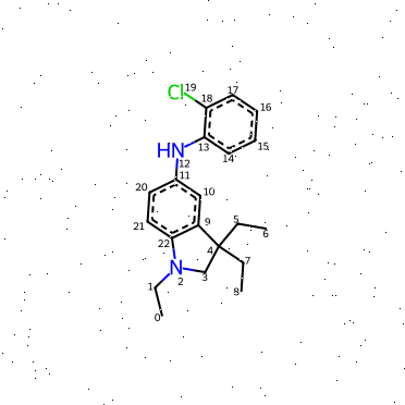 CCN1CC(CC)(CC)c2cc(Nc3ccccc3Cl)ccc21